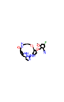 COc1cc(F)cc(C#N)c1COc1ccc2cc1COCCCCNC(=O)c1ccc(c(N)c1)-c1ccnc(n1)N2